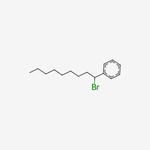 CCCCCCCCC(Br)c1ccccc1